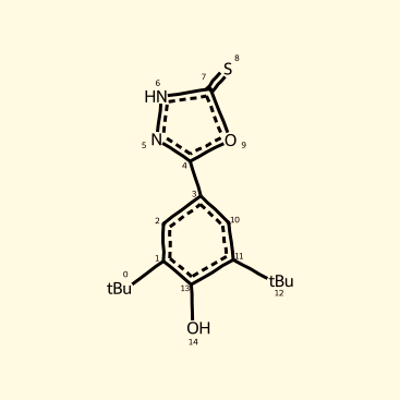 CC(C)(C)c1cc(-c2n[nH]c(=S)o2)cc(C(C)(C)C)c1O